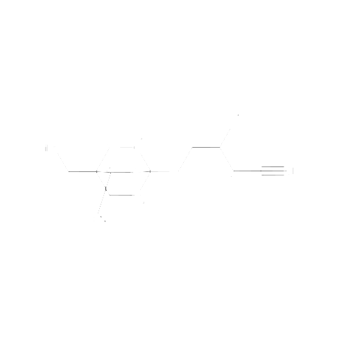 C#CCC(C)CCC12OCC(CC(C)C)(CO1)C(C#N)O2